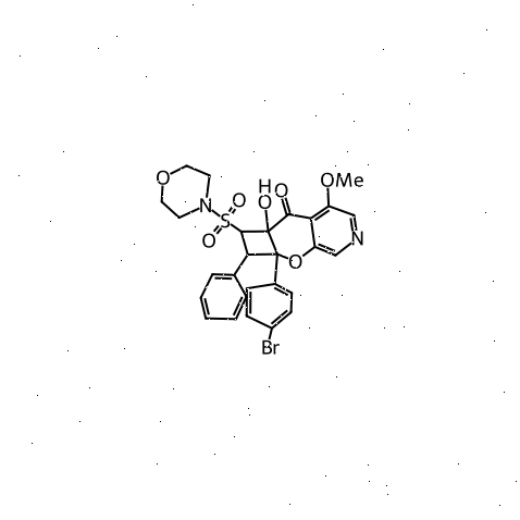 COc1cncc2c1C(=O)C1(O)C(S(=O)(=O)N3CCOCC3)C(c3ccccc3)C1(c1ccc(Br)cc1)O2